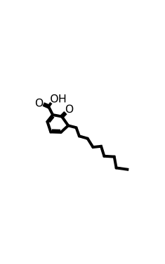 CCCCCCCCCC1C=CC=C(C(=O)O)C1=O